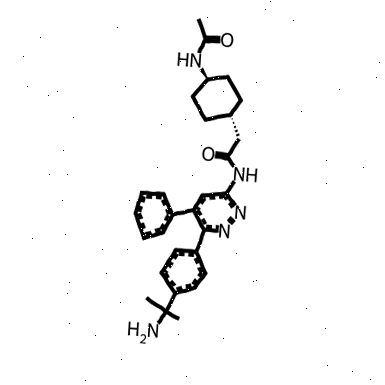 CC(=O)N[C@H]1CC[C@H](CC(=O)Nc2cc(-c3ccccc3)c(-c3ccc(C(C)(C)N)cc3)nn2)CC1